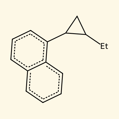 CCC1CC1c1cccc2ccccc12